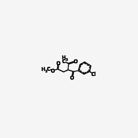 COC(=O)CC(C(C)=O)C(=O)c1cccc(Cl)c1